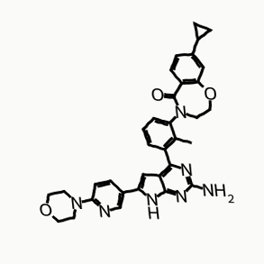 Cc1c(-c2nc(N)nc3[nH]c(-c4ccc(N5CCOCC5)nc4)cc23)cccc1N1CCOc2cc(C3CC3)ccc2C1=O